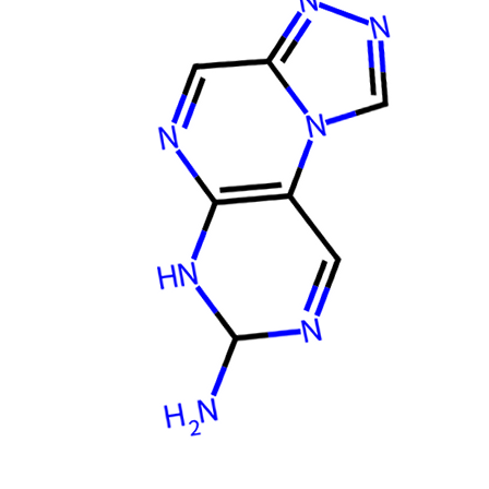 NC1N=Cc2c(ncc3nncn23)N1